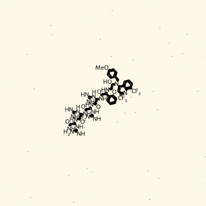 COc1ccc(CN(c2cc(C(F)(F)F)nc3c(C(F)(F)F)cccc23)C(O)C(=O)NC(C(=O)NC(NC(=N)N)C(=O)NC(NC(=N)N)C(=O)NC(NC(=N)N)C(=O)NC(NC(=N)N)C(N)=O)c2ccccc2)cc1